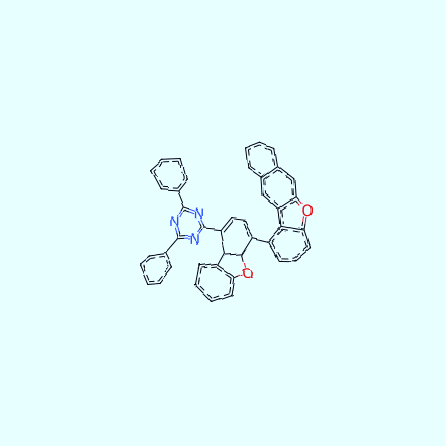 C1=C(c2cccc3oc4cc5ccccc5cc4c23)C2Oc3ccccc3C2C(c2nc(-c3ccccc3)nc(-c3ccccc3)n2)=C1